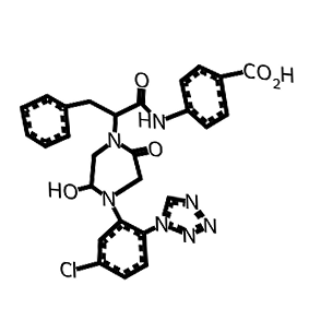 O=C(O)c1ccc(NC(=O)C(Cc2ccccc2)N2CC(O)N(c3cc(Cl)ccc3-n3cnnn3)CC2=O)cc1